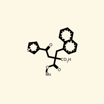 CCC(C)OC(=O)C(CC(=O)c1ccsc1)(Cc1cccc2ccccc12)C(=O)O